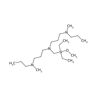 CCCN(C)CCCN(CCCN(C)CCC)C[Si](CC)(CC)OC